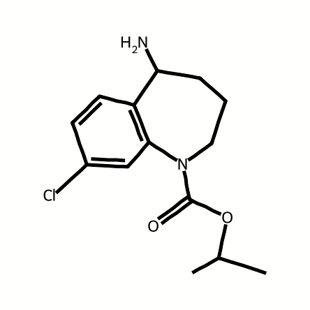 CC(C)OC(=O)N1CCCC(N)c2ccc(Cl)cc21